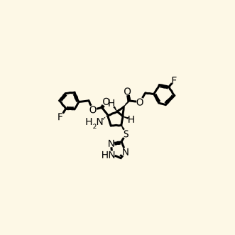 N[C@@]1(C(=O)OCc2cccc(F)c2)C[C@H](Sc2nc[nH]n2)[C@H]2[C@H](C(=O)OCc3cccc(F)c3)[C@H]21